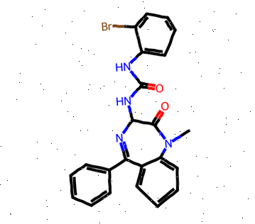 CN1C(=O)C(NC(=O)Nc2ccccc2Br)N=C(c2ccccc2)c2ccccc21